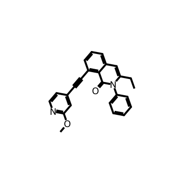 CCc1cc2cccc(C#Cc3ccnc(OC)c3)c2c(=O)n1-c1ccccc1